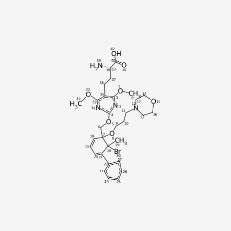 COc1nc(OCC2(OCCCN3CCOCC3)C=CC=C(c3ccccc3)C2(C)Br)nc(OC)c1CC[C@H](N)C(=O)O